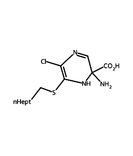 CCCCCCCCSC1=C(Cl)N=CC(N)(C(=O)O)N1